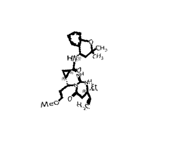 C=C[C@@]1(CC)CC(=O)N(C(CCOC)[C@@H]2C[C@H]2C(=O)N[C@H]2CC(C)(C)Oc3ccccc32)C(=N)N1